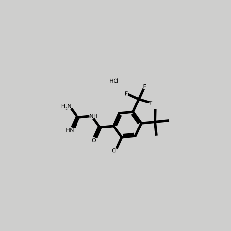 CC(C)(C)c1cc(Cl)c(C(=O)NC(=N)N)cc1C(F)(F)F.Cl